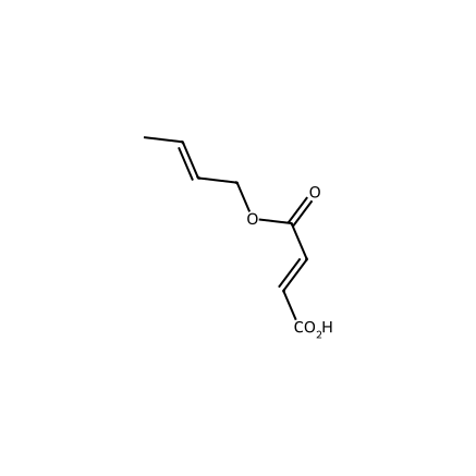 CC=CCOC(=O)C=CC(=O)O